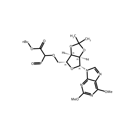 CCCCOC(=O)C(OC[C@H]1O[C@@H](n2cnc3c(OC)nc(OC)nc32)[C@@H]2OC(C)(C)O[C@@H]21)P=O